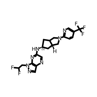 FC(F)Cn1ncc2ncc(N[C@H]3CC4CN(c5ccc(C(F)(F)F)cn5)C[C@@H]4C3)nc21